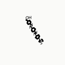 OCc1ccc(N=Nc2ccc(N=Nc3ccc(N4CCSC4)cc3)cc2)cc1